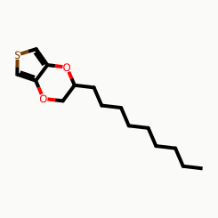 CCCCCCCCCC1COc2cscc2O1